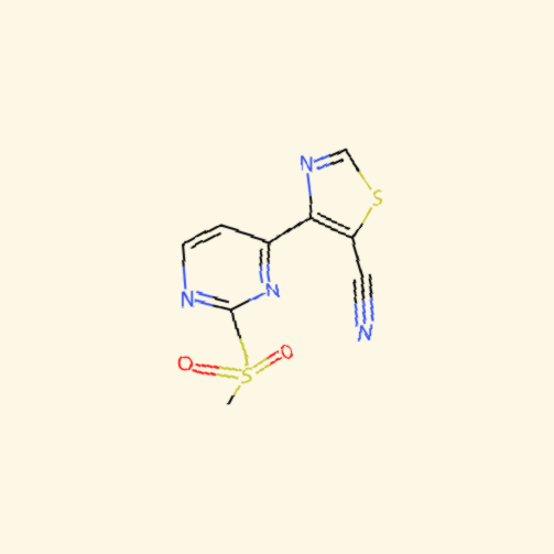 CS(=O)(=O)c1nccc(-c2ncsc2C#N)n1